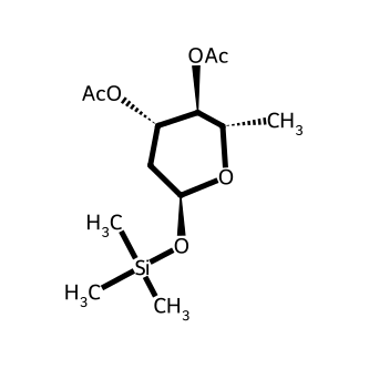 CC(=O)O[C@H]1[C@H](C)O[C@@H](O[Si](C)(C)C)C[C@@H]1OC(C)=O